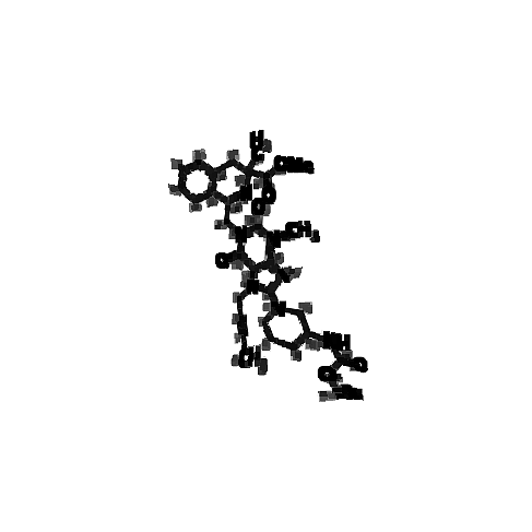 CC#CCn1c(N2CCCC(NC(=O)OC(C)(C)C)C2)nc2c1c(=O)n(CC1=NC(C)(C(=O)OC)Cc3ccccc31)c(=O)n2C